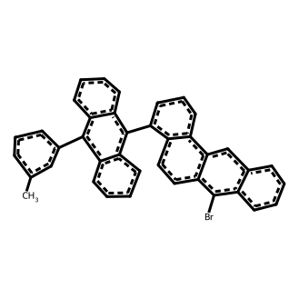 Cc1cccc(-c2c3ccccc3c(-c3cccc4c3ccc3c(Br)c5ccccc5cc34)c3ccccc23)c1